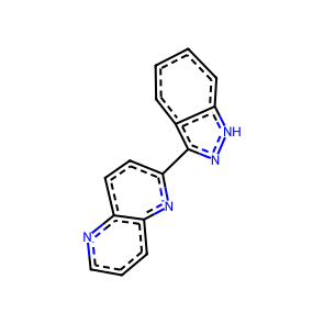 c1cnc2ccc(-c3n[nH]c4ccccc34)nc2c1